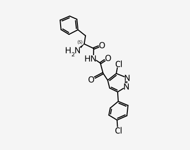 N[C@@H](Cc1ccccc1)C(=O)NC(=O)C(=O)c1cc(-c2ccc(Cl)cc2)nnc1Cl